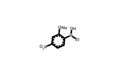 CCN(O)c1ccc([N+](=O)[O-])cc1OC